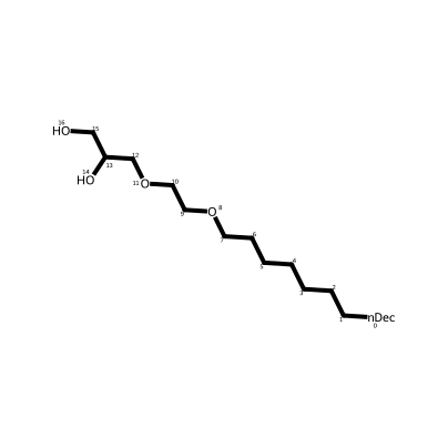 CCCCCCCCCCCCCCCCCOCCOCC(O)CO